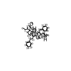 CCC(C)[C@@]1(NC(C)=O)CCN(C(CCc2ccccc2)C(=O)N[C@@H](Cc2ccccc2)[C@H](O)CNC)C1=O